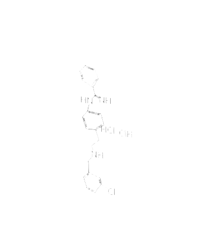 Cl.Cl.N=C(Nc1ccc(CCNCc2cccc(Cl)c2)cc1)c1ccccc1